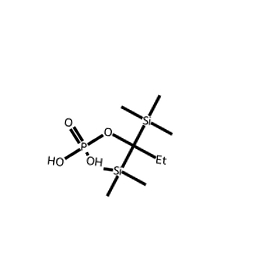 CCC(OP(=O)(O)O)([Si](C)(C)C)[Si](C)(C)C